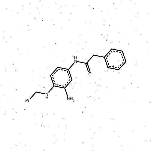 CC(C)CNc1ccc(NC(=O)Cc2ccccc2)cc1N